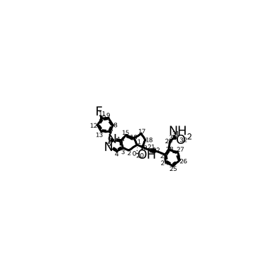 C[C@]12Cc3cnn(-c4ccc(F)cc4)c3C=C1CC[C@@]2(O)C#Cc1ccccc1CC(N)=O